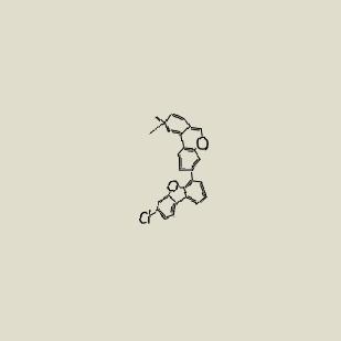 CC1(C)C=CC2=COc3cc(-c4cccc5c4oc4cc(Cl)ccc45)ccc3C2=C1